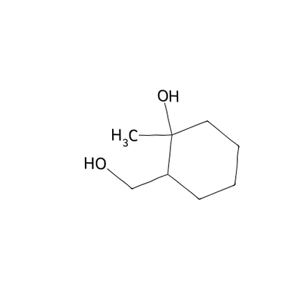 CC1(O)CCCCC1CO